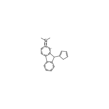 C[SiH](C)c1[c]c2c(cc1)-c1ccccc1C2C1=CC=CC1